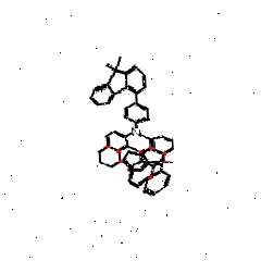 CC1(C)c2ccccc2-c2c(-c3ccc(N(c4ccccc4-c4cccc5cccc(C6CCCCC6)c45)c4cccc5c4-c4ccccc4C5(C)c4ccccc4)cc3)cccc21